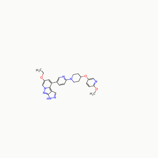 CCOc1cc(-c2ccc(N3CCC(Oc4ccc(OC)nc4)CC3)nc2)c2c3cn[nH]c3nn2c1